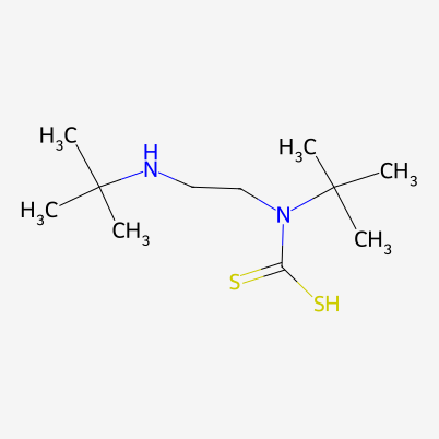 CC(C)(C)NCCN(C(=S)S)C(C)(C)C